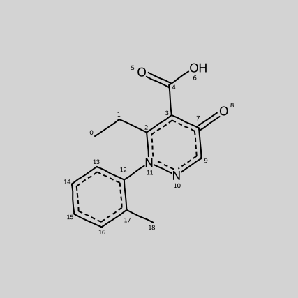 CCc1c(C(=O)O)c(=O)cnn1-c1ccccc1C